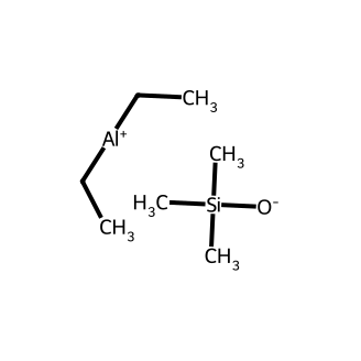 C[CH2][Al+][CH2]C.C[Si](C)(C)[O-]